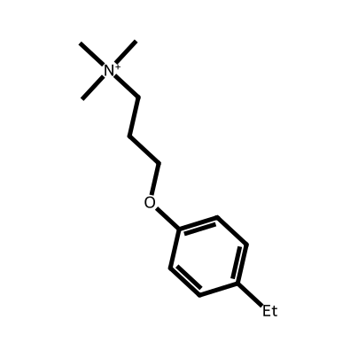 CCc1ccc(OCCC[N+](C)(C)C)cc1